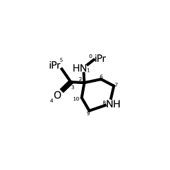 CC(C)NC1(C(=O)C(C)C)CCNCC1